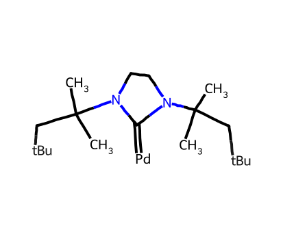 CC(C)(C)CC(C)(C)N1CCN(C(C)(C)CC(C)(C)C)[C]1=[Pd]